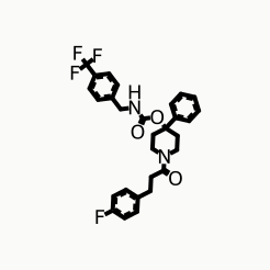 O=C(NCc1ccc(C(F)(F)F)cc1)OC1(c2ccccc2)CCN(C(=O)CCc2ccc(F)cc2)CC1